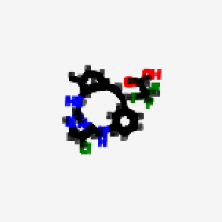 Cc1ccc2cc1Nc1ncc(Cl)c(n1)Nc1cccc(c1)CC2.O=C(O)C(F)(F)F